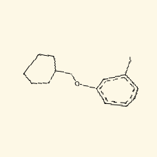 Ic1cccc(OCC2CCCCC2)c1